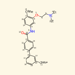 CCN(CC)CCOc1cc(NC(=O)c2ccc(-c3cccc(OC)c3)cc2)ccc1OC